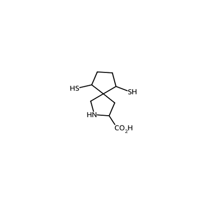 O=C(O)C1CC2(CN1)C(S)CCC2S